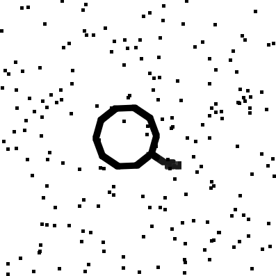 CC(C)(C)[C]1CCCCCCCCC1